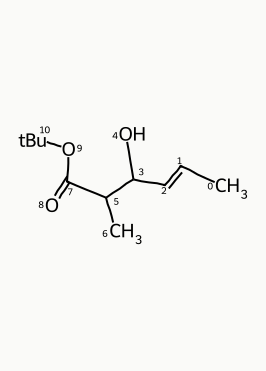 CC=CC(O)C(C)C(=O)OC(C)(C)C